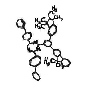 C/C=C\C1=C(C)c2ccc(-c3cc(C4=NC(c5ccc(-c6ccccc6)cc5)=NCC(c5ccc(-c6ccccc6)cc5)=N4)cc(-c4ccc5c(c4)C(C)(C)c4ccccc4-5)c3)cc2C1(C)C